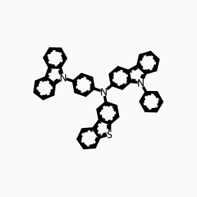 c1ccc(-n2c3ccccc3c3ccc(N(c4ccc(-n5c6ccccc6c6ccccc65)cc4)c4ccc5sc6ccccc6c5c4)cc32)cc1